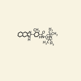 Cc1cc(C(=O)NC2CC(C)(C)NC(C)(C)C2)ccc1-c1nc2cc3ccccc3cc2[nH]1